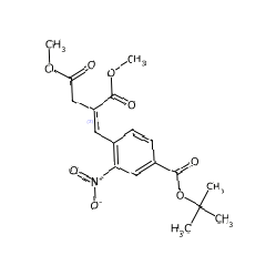 COC(=O)C/C(=C/c1ccc(C(=O)OC(C)(C)C)cc1[N+](=O)[O-])C(=O)OC